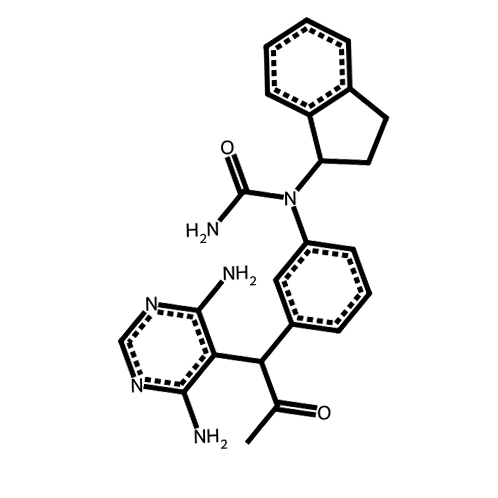 CC(=O)C(c1cccc(N(C(N)=O)C2CCc3ccccc32)c1)c1c(N)ncnc1N